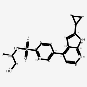 C[C@H](CO)NS(=O)(=O)c1ccc(-c2ccnc3[nH]c(C4CC4)cc23)cn1